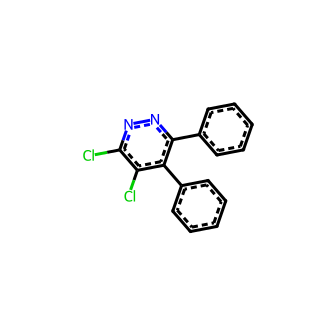 Clc1nnc(-c2ccccc2)c(-c2ccccc2)c1Cl